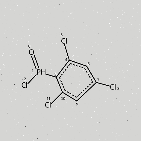 O=[PH](Cl)c1c(Cl)cc(Cl)cc1Cl